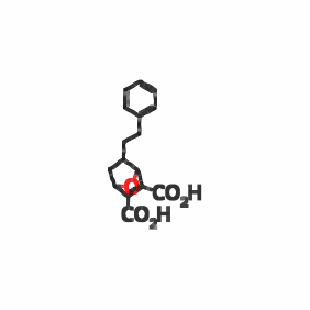 O=C(O)C1=C(C(=O)O)C2OC1CC2CCc1ccccc1